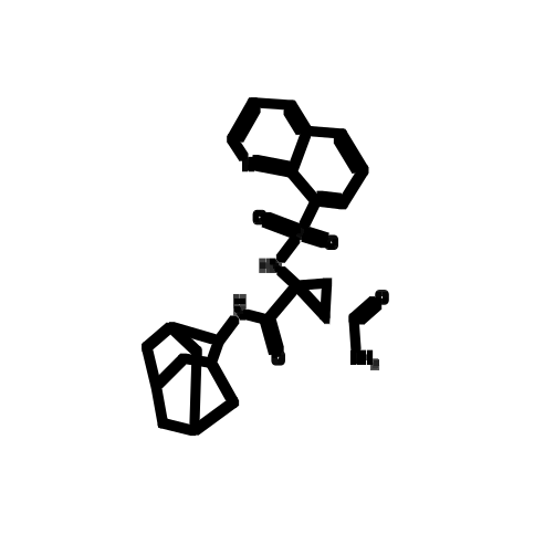 NC=O.O=C(NC1C2CC3CC(C2)CC1C3)C1(NS(=O)(=O)c2cccc3cccnc23)CC1